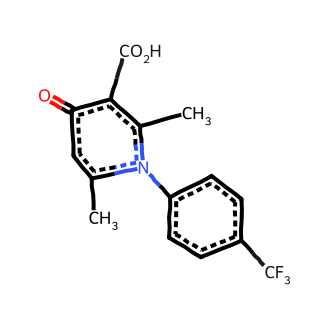 Cc1cc(=O)c(C(=O)O)c(C)n1-c1ccc(C(F)(F)F)cc1